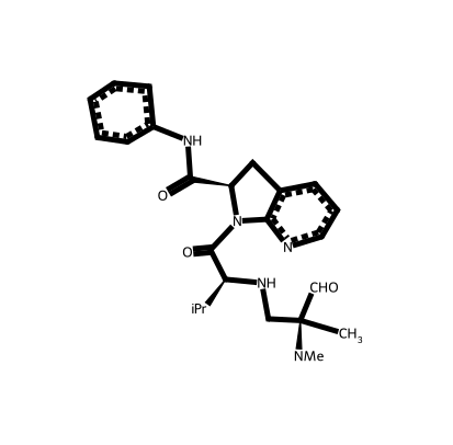 CN[C@](C)(C=O)CN[C@H](C(=O)N1c2ncccc2C[C@@H]1C(=O)Nc1ccccc1)C(C)C